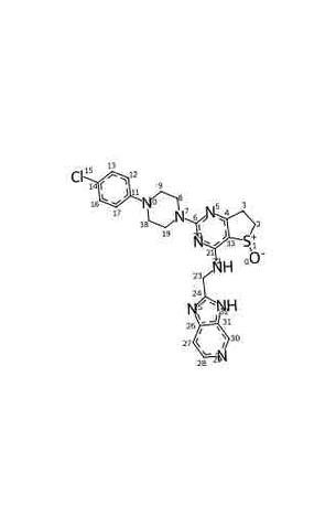 [O-][S+]1CCc2nc(N3CCN(c4ccc(Cl)cc4)CC3)nc(NCc3nc4ccncc4[nH]3)c21